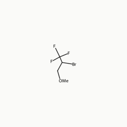 COCC(Br)C(F)(F)F